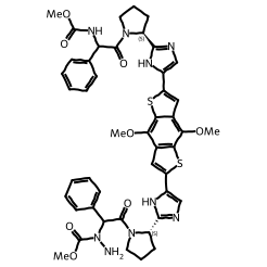 COC(=O)NC(C(=O)N1CCC[C@H]1c1ncc(-c2cc3c(OC)c4sc(-c5cnc([C@@H]6CCCN6C(=O)C(c6ccccc6)N(N)C(=O)OC)[nH]5)cc4c(OC)c3s2)[nH]1)c1ccccc1